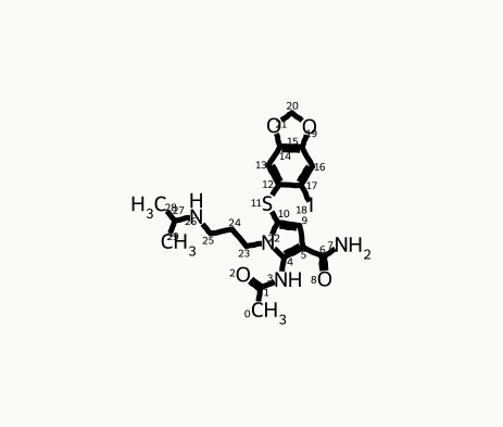 CC(=O)Nc1c(C(N)=O)cc(Sc2cc3c(cc2I)OCO3)n1CCCNC(C)C